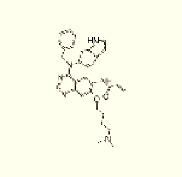 C=CC(=O)Nc1cc2c(N(Cc3ccccc3)c3ccc4cc[nH]c4c3)ncnc2cc1OCCCCN(C)C